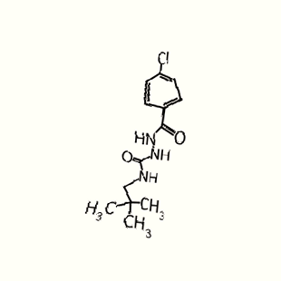 CC(C)(C)CNC(=O)NNC(=O)c1ccc(Cl)cc1